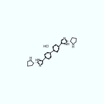 Cl.c1cc(-c2cnc([C@@H]3CCCN3)[nH]2)ccc1-c1ccc(-c2cnc([C@@H]3CCCN3)[nH]2)cc1